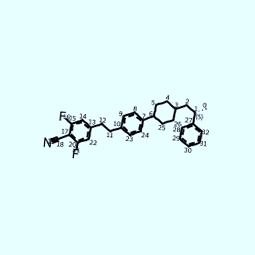 C[C@@H](CC1CCC(c2ccc(CCc3cc(F)c(C#N)c(F)c3)cc2)CC1)c1ccccc1